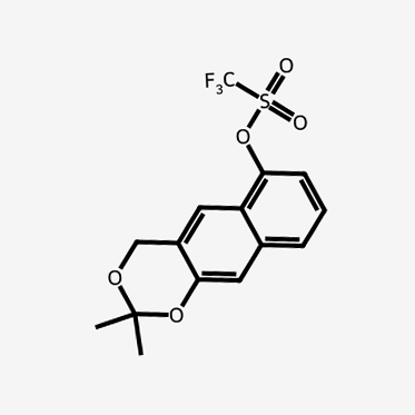 CC1(C)OCc2cc3c(OS(=O)(=O)C(F)(F)F)cccc3cc2O1